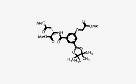 COC(=O)COc1cc(B2OC(C)(C)C(C)(C)O2)cc(C(=O)N[C@@H](CC(=O)OC)C(=O)OC)c1